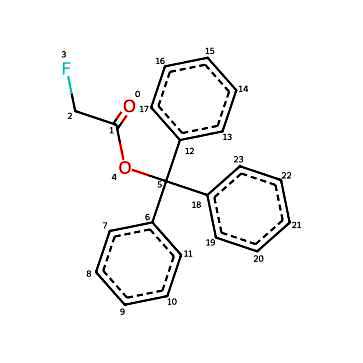 O=C(CF)OC(c1ccccc1)(c1ccccc1)c1ccccc1